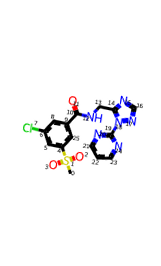 CS(=O)(=O)c1cc(Cl)cc(C(=O)NCc2ncnn2-c2ncccn2)c1